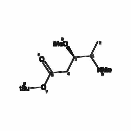 CNC(C)[C@@H](CC(=O)OC(C)(C)C)OC